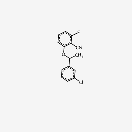 CC(Oc1cccc(F)c1C#N)c1cccc(Cl)c1